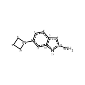 Nn1cc2ccc(N3CCC3)cc2n1